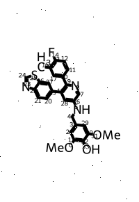 COc1cc(CNc2cnc(-c3ccc(F)c(C)c3)c(-c3ccc4ncsc4c3)c2)cc(OC)c1O